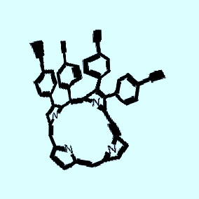 C#Cc1ccc(C2=CC3=CC4=NC(=CC5=NC(=CC6=NC(=C(c7ccc(C#C)cc7)C2=N3)C(c2ccc(C#C)cc2)=C6c2ccc(C#C)cc2)C=C5)C=C4)cc1